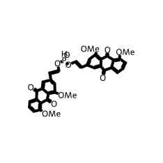 COc1cccc2c1C(=O)c1c(OC)cc(C=CO[PH](=O)OC=Cc3cc(OC)c4c(c3)C(=O)c3cccc(OC)c3C4=O)cc1C2=O